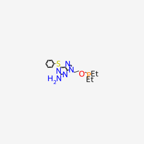 CCP(CC)COCCn1cnc2c(Sc3ccccc3)nc(N)nc21